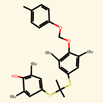 Cc1ccc(OCOc2c(C(C)(C)C)cc(SC(C)(C)Sc3cc(C(C)(C)C)c(O)c(C(C)(C)C)c3)cc2C(C)(C)C)cc1